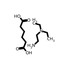 CCN(CC)CCN.O=C(O)CCCCC(=O)O